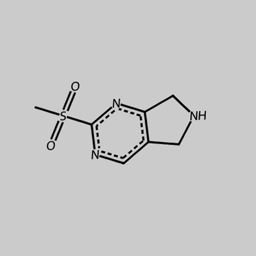 CS(=O)(=O)c1ncc2c(n1)CNC2